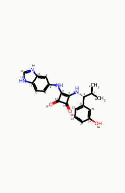 CC(C)[C@@H](Nc1c(Nc2ccc3[nH]cnc3c2)c(=O)c1=O)c1cccc(O)c1